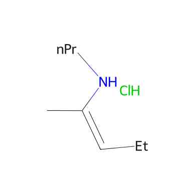 CCC=C(C)NCCC.Cl